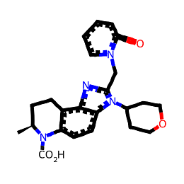 C[C@H]1CCc2c(ccc3c2nc(Cn2ccccc2=O)n3C2CCOCC2)N1C(=O)O